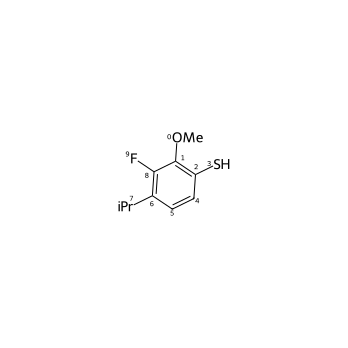 COc1c(S)ccc(C(C)C)c1F